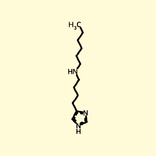 CCCCCCNCCCCc1c[nH]cn1